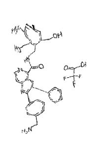 Cc1ncc(CO)c(CNC(=O)c2nccc3nc(-c4ccc(CN)cc4)c(-c4ccccc4)cc23)c1O.O=C(O)C(F)(F)F